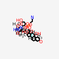 CO[C@H](C(O[Si](C)(C)C(C)(C)C)C(CCO)OP(=O)(OCCC#N)OCC(=O)[C@@]1(O)[C@H](C)C[C@H]2[C@@H]3CCC4=CC(=O)C=C[C@]4(C)[C@@]3(F)[C@@H](O)C[C@@]21C)n1ccc(=O)[nH]c1=O